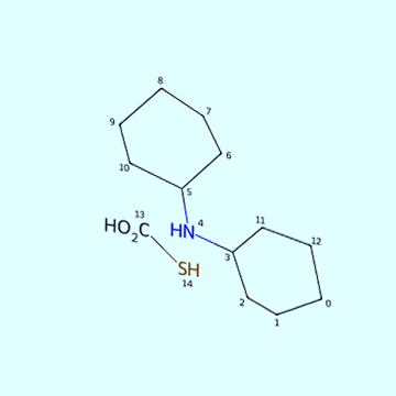 C1CCC(NC2CCCCC2)CC1.O=C(O)S